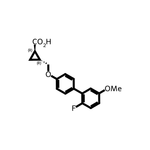 COc1ccc(F)c(-c2ccc(OC[C@@H]3C[C@H]3C(=O)O)cc2)c1